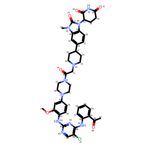 COc1cc(N2CCN(C(=O)CN3CCC(c4ccc5c(c4)n(C)c(=O)n5C4CCC(=O)NC4=O)CC3)CC2)ccc1Nc1ncc(Cl)c(Nc2ccccc2C(C)=O)n1